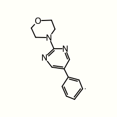 [c]1cccc(-c2cnc(N3CCOCC3)nc2)c1